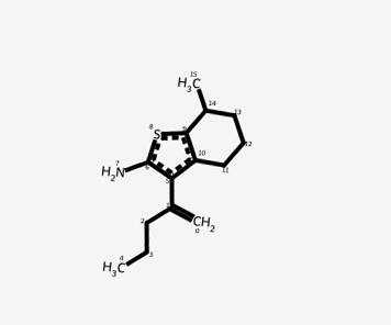 C=C(CCC)c1c(N)sc2c1CCCC2C